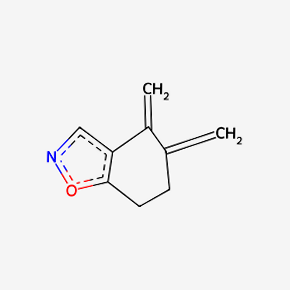 C=C1CCc2oncc2C1=C